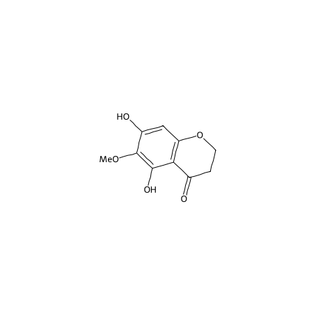 COc1c(O)cc2c(c1O)C(=O)CCO2